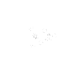 COc1ccc(/C=N/NC(=O)c2cc(Cl)ccc2NC(=O)c2cccc(CSc3nnnn3CCN(C)C)c2)cc1